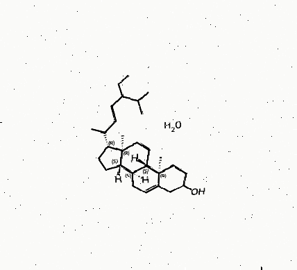 CCC(CCC(C)[C@H]1CC[C@H]2[C@@H]3CC=C4CC(O)CC[C@]4(C)[C@H]3CC[C@]12C)C(C)C.O